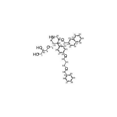 OC[C@@H](O)COC[C@@H]1CNC[C@H](OCc2ccc3ccccc3c2)[C@H]1c1ccc(OCCCOCc2ccccc2)cc1